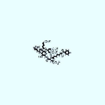 CCCCCCCCCCCCCC(=O)N[C@H]1[C@@H](OC(CC(=O)O)CC(=O)O)O[C@H](COC(=O)[C@@H](CCC(=O)O)NC(=O)CCCCCNC(=O)c2ccccc2)[C@@H](O)[C@@H]1OC(=O)CCCCCCCCCCCCC